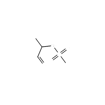 CC([C]=O)NS(C)(=O)=O